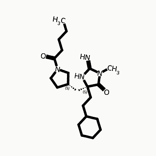 CCCCC(=O)N1CC[C@@H](C[C@]2(CCC3CCCCC3)NC(=N)N(C)C2=O)C1